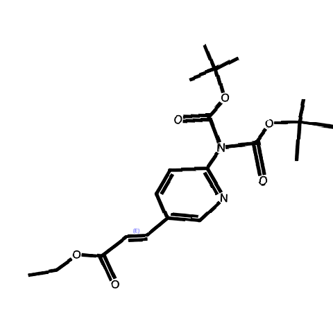 CCOC(=O)/C=C/c1ccc(N(C(=O)OC(C)(C)C)C(=O)OC(C)(C)C)nc1